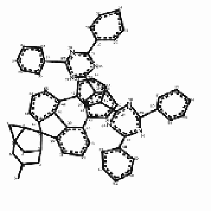 CC1CC2CC3(C1)CC3C21c2cccc(-c3cccc(-c4nc(-c5ccccc5)nc(-c5ccccc5)n4)c3)c2-c2c(-c3cccc(-c4nc(-c5ccccc5)nc(-c5ccccc5)n4)c3)cccc21